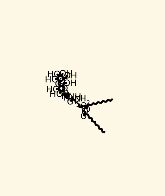 CCCCCCCCCCCC(=O)OC[C@H](CSC[C@@H](N)C(=O)Nc1cn([C@@H]2OC(CO)C(OC3OC(CO)C(O)C(O)C3O)C(O)C2O)nn1)OC(=O)CCCCCCCCCCC